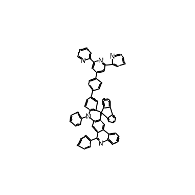 c1ccc(-c2nc3ccccc3c3cc4c(cc23)N(c2ccccc2)c2ccc(-c3ccc(-c5cc(-c6ccccn6)nc(-c6ccccn6)c5)cc3)cc2C42c3ccccc3-c3ccccc32)cc1